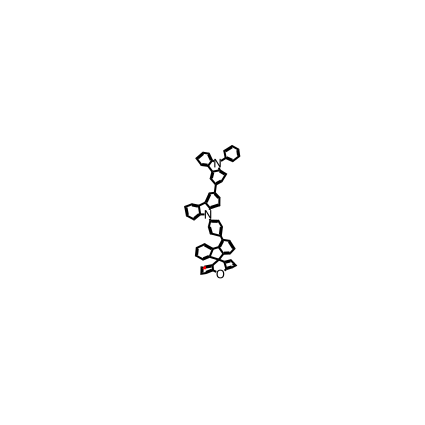 c1ccc(-n2c3ccccc3c3cc(-c4ccc5c(c4)c4ccccc4n5-c4ccc(-c5cccc6c5-c5ccccc5C65c6ccccc6Oc6ccccc65)cc4)ccc32)cc1